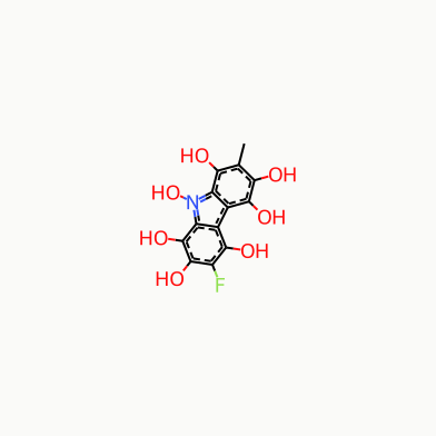 Cc1c(O)c(O)c2c3c(O)c(F)c(O)c(O)c3n(O)c2c1O